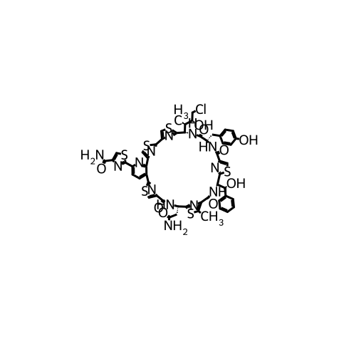 Cc1sc2nc1C(=O)N[C@@H]([C@H](O)c1ccccc1)c1nc(cs1)C(=O)N[C@@H](Cc1ccc(O)cc1)C(=O)N[C@@H]([C@@H](C)[C@@H](O)CCl)c1nc(cs1)-c1nc(cs1)-c1nc(-c3nc(C(N)=O)cs3)ccc1-c1nc(cs1)C(=O)N[C@H]2CC(N)=O